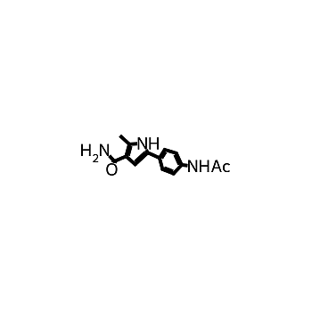 CC(=O)Nc1ccc(-c2cc(C(N)=O)c(C)[nH]2)cc1